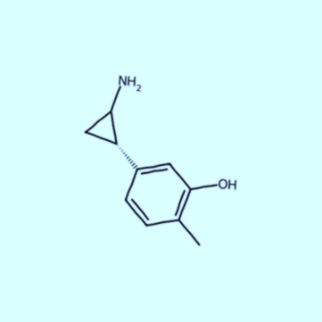 Cc1ccc([C@@H]2CC2N)cc1O